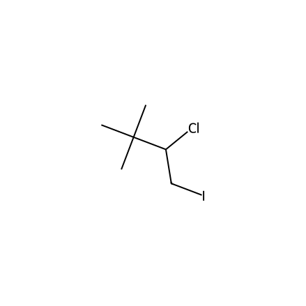 CC(C)(C)C(Cl)CI